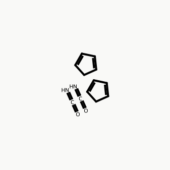 C1=CCC=C1.C1=CCC=C1.N=C=O.N=C=O